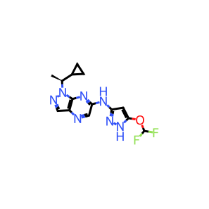 C[C@@H](C1CC1)n1ncc2ncc(Nc3cc(OC(F)F)[nH]n3)nc21